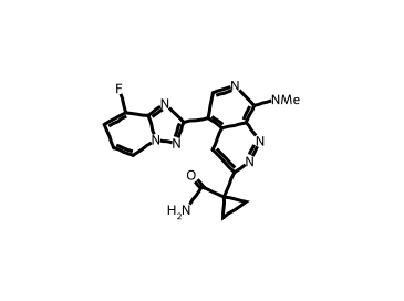 CNc1ncc(-c2nc3c(F)cccn3n2)c2cc(C3(C(N)=O)CC3)nnc12